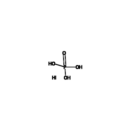 I.O=P(O)(O)O